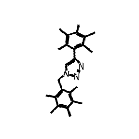 Cc1c(C)c(C)c(Cn2cc(-c3c(C)c(C)c(C)c(C)c3C)nn2)c(C)c1C